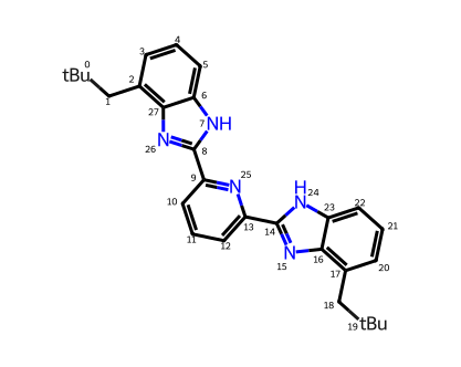 CC(C)(C)Cc1cccc2[nH]c(-c3cccc(-c4nc5c(CC(C)(C)C)cccc5[nH]4)n3)nc12